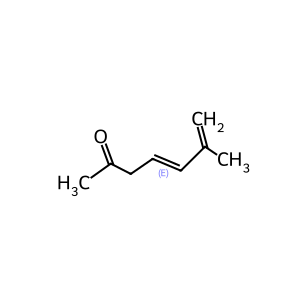 C=C(C)/C=C/CC(C)=O